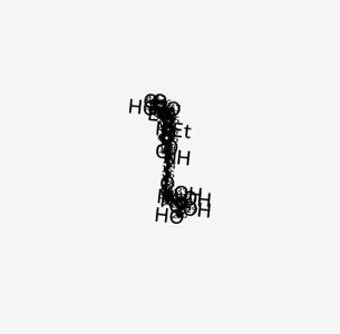 CCc1c2c(nc3ccc(OC(=O)NCCCCCOCc4cn([C@H]5O[C@@H](CO)[C@H](O)[C@@H](O)[C@@H]5O)nn4)cc13)-c1cc3c(c(=O)n1C2)COC(=O)[C@]3(O)CC